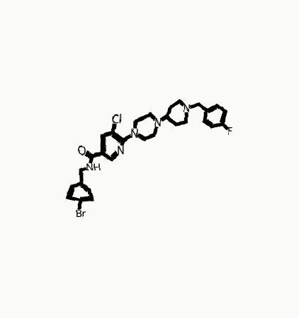 O=C(NCc1ccc(Br)cc1)c1cnc(N2CCN(C3CCN(Cc4ccc(F)cc4)CC3)CC2)c(Cl)c1